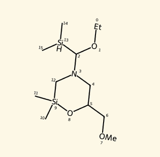 CCOC(N1CC(COC)O[Si](C)(C)C1)[SiH](C)C